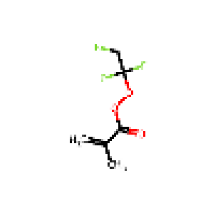 C=C(C)C(=O)OOC(F)(F)CF